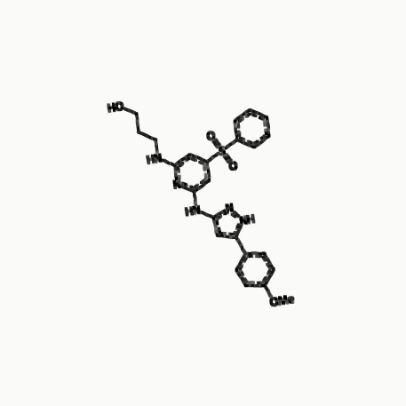 COc1ccc(-c2cc(Nc3cc(S(=O)(=O)c4ccccc4)cc(NCCCO)n3)n[nH]2)cc1